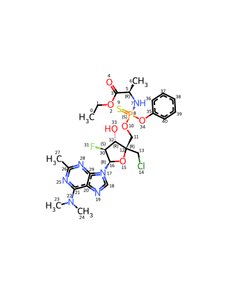 CCOC(=O)[C@@H](C)N[P@](=S)(OC[C@@]1(CCl)O[C@@H](n2cnc3c(N(C)C)nc(C)nc32)[C@@H](F)[C@@H]1O)Oc1ccccc1